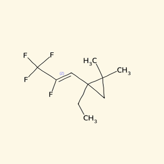 CCC1(/C=C(\F)C(F)(F)F)CC1(C)C